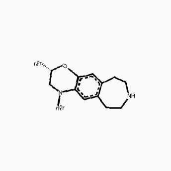 CCC[C@H]1CN(CCC)c2cc3c(cc2O1)CCNCC3